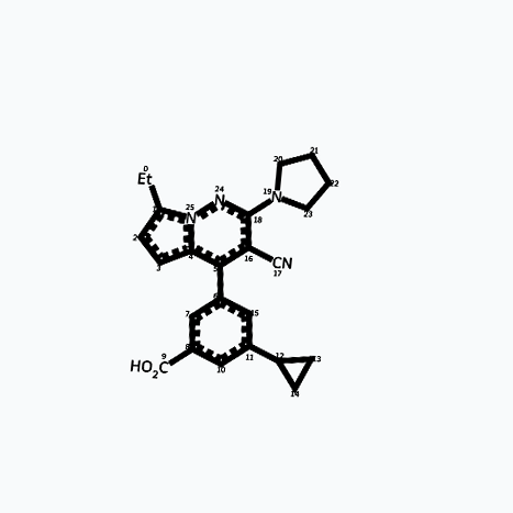 CCc1ccc2c(-c3cc(C(=O)O)cc(C4CC4)c3)c(C#N)c(N3CCCC3)nn12